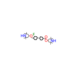 CC1(C)CC(OCc2ccc(-c3ccc(C(=O)OC4CC(C)(C)NC(C)(C)C4)cc3)cc2F)CC(C)(C)N1